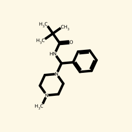 CN1CCN(C(NC(=O)C(C)(C)C)c2ccccc2)CC1